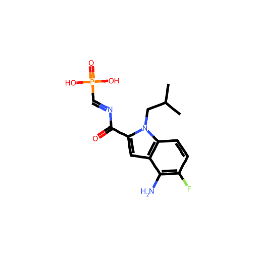 CC(C)Cn1c(C(=O)N=CP(=O)(O)O)cc2c(N)c(F)ccc21